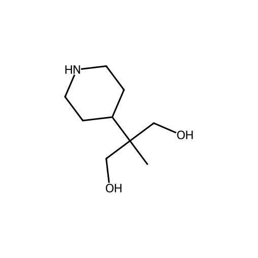 CC(CO)(CO)C1CCNCC1